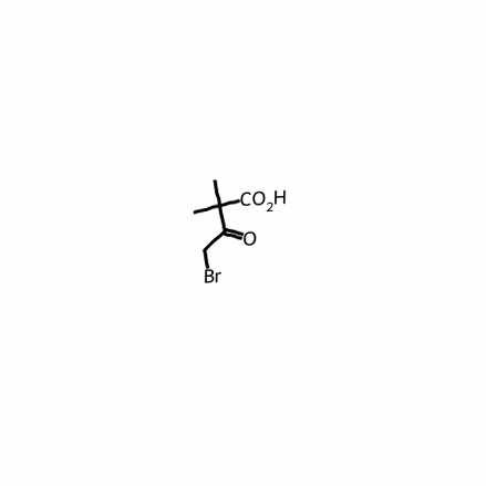 CC(C)(C(=O)O)C(=O)CBr